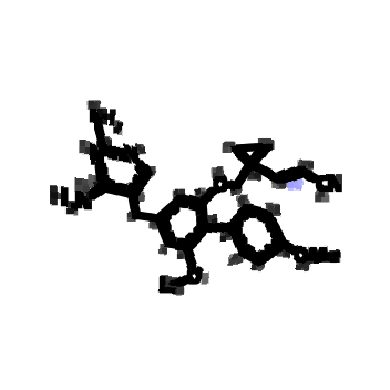 CCOc1cc(Cc2cnc(N)nc2N)cc(OCC2(/C=C/C#N)CC2)c1-c1ccc(OC)cc1